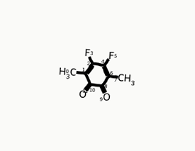 CC1=C(F)C(F)=C(C)C(=O)C1=O